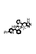 CC(C)c1ccc([C@@H](NC(=O)[C@@H]2CCCN2C(=O)Cc2[nH]nnc2C(F)(F)F)c2ccccc2)nc1